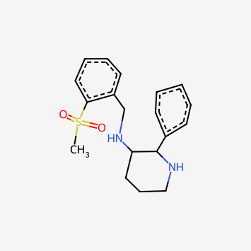 CS(=O)(=O)c1ccccc1CNC1CCCNC1c1ccccc1